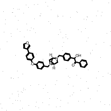 O=C(c1ccccc1)C(O)c1ccc(CN2C[C@@H]3C[C@H]2CN3Cc2ccc(Oc3ccc(-c4ccoc4)cc3)cc2)cc1